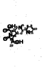 C[C@H]1C(CN(C)Cc2ccccn2)=C(C(=O)O)N2C(=O)[C@H]([C@@H](C)O)C12